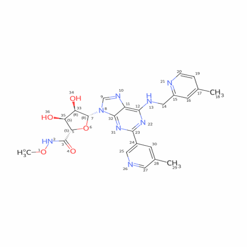 CONC(=O)[C@H]1O[C@@H](n2cnc3c(NCc4cc(C)ccn4)nc(-c4cncc(C)c4)nc32)[C@H](O)[C@@H]1O